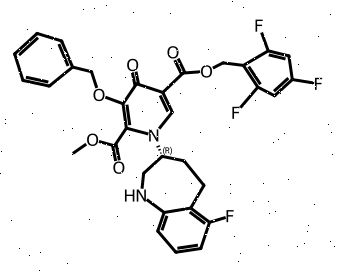 COC(=O)c1c(OCc2ccccc2)c(=O)c(C(=O)OCc2c(F)cc(F)cc2F)cn1[C@@H]1CCc2c(F)cccc2NC1